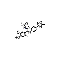 COC(=O)/N=C(\SC)C(=Nc1ccc(-c2noc(C)n2)cc1)c1cc(OC)c(O)cc1F